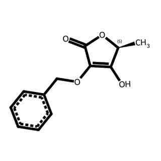 C[C@@H]1OC(=O)C(OCc2ccccc2)=C1O